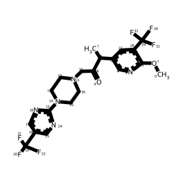 COc1ncc(C(C)C(=O)CN2CCN(c3ncc(C(F)(F)F)cn3)CC2)cc1C(F)(F)F